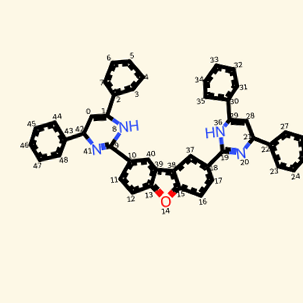 C1=C(c2ccccc2)NC(c2ccc3oc4ccc(C5=NC(c6ccccc6)C=C(c6ccccc6)N5)cc4c3c2)=NC1c1ccccc1